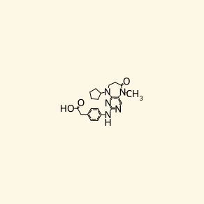 CN1C(=O)CCN(C2CCCC2)c2nc(Nc3ccc(CC(=O)O)cc3)ncc21